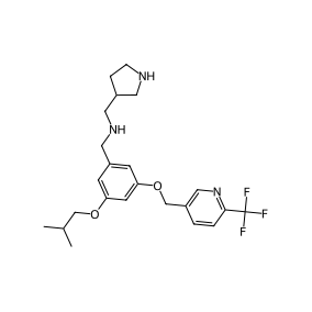 CC(C)COc1cc(CNCC2CCNC2)cc(OCc2ccc(C(F)(F)F)nc2)c1